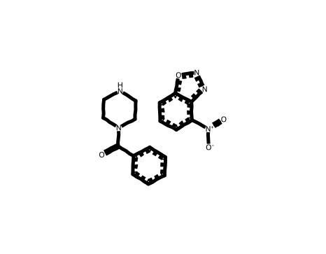 O=C(c1ccccc1)N1CCNCC1.O=[N+]([O-])c1cccc2onnc12